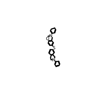 C1=CC(N2COc3ccc(Sc4ccc5c(c4)CN(c4ccccc4)CC5)cc3C2)=CCC1